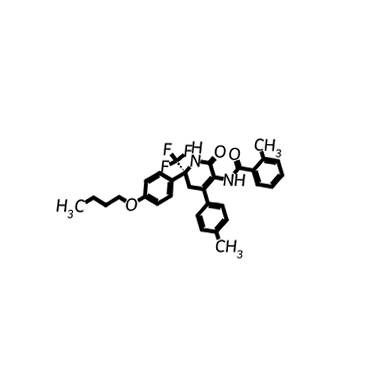 CCCCOc1ccc([C@]2(C(F)(F)F)CC(c3ccc(C)cc3)=C(NC(=O)c3ccccc3C)C(=O)N2)cc1